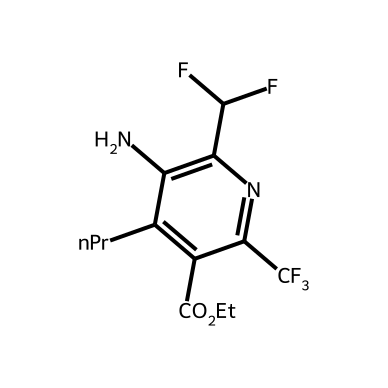 CCCc1c(N)c(C(F)F)nc(C(F)(F)F)c1C(=O)OCC